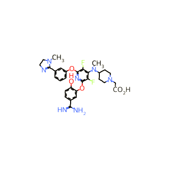 CN1CCN=C1c1cccc(Oc2nc(Oc3cc(C(=N)N)ccc3O)c(F)c(N(C)C3CCN(CC(=O)O)CC3)c2F)c1